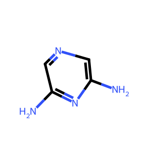 Nc1cncc(N)n1